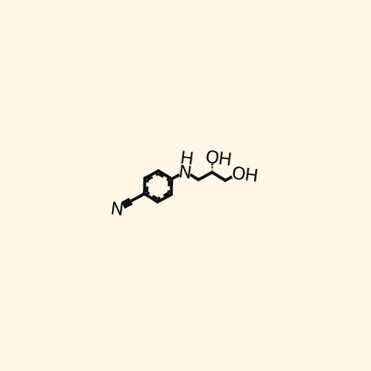 N#Cc1ccc(NC[C@H](O)CO)cc1